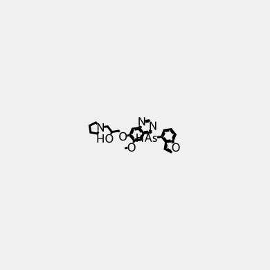 COc1cc2c([AsH]c3cccc4occc34)ncnc2cc1OCC(O)CN1CCCC1